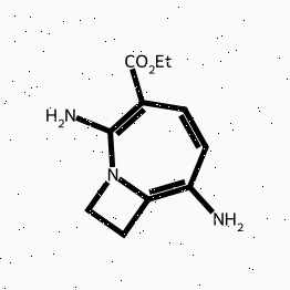 CCOC(=O)C1=C(N)N2CCC2=C(N)C=C1